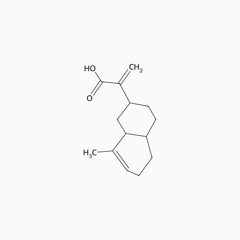 C=C(C(=O)O)C1CCC2CCC=C(C)C2C1